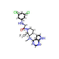 CN(c1ncnc2[nH]ccc12)C1CCCN(C(=O)CNc2cc(Cl)cc(Cl)c2)C1C(F)(F)F